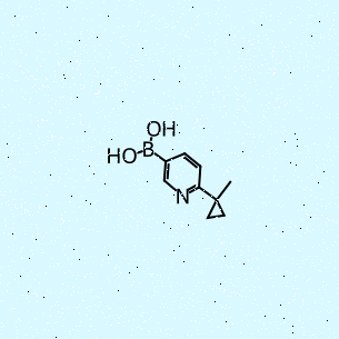 CC1(c2ccc(B(O)O)cn2)CC1